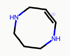 C1=C\NCCCNC/1